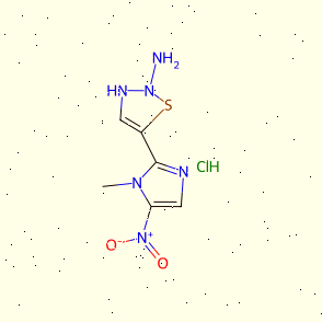 Cl.Cn1c([N+](=O)[O-])cnc1C1=CNN(N)S1